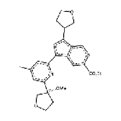 CCOC(=O)c1cc2c(-c3cc(C)cc([C@@]4(OC)CCOC4)n3)cc(C3CCOC3)n2cn1